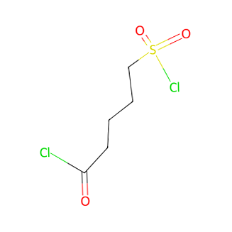 O=C(Cl)CCCCS(=O)(=O)Cl